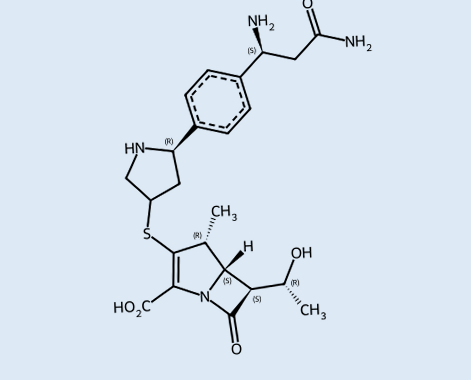 C[C@@H](O)[C@H]1C(=O)N2C(C(=O)O)=C(SC3CN[C@@H](c4ccc([C@@H](N)CC(N)=O)cc4)C3)[C@H](C)[C@H]12